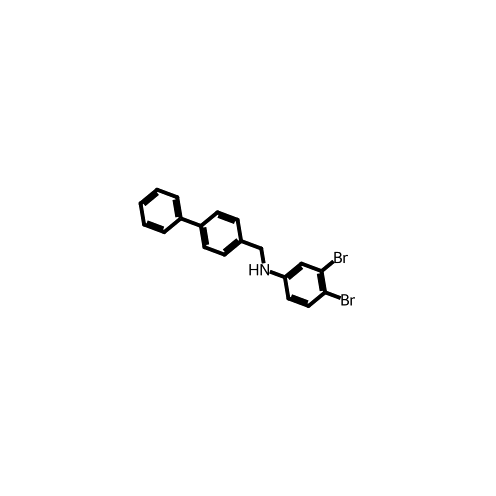 Brc1ccc(NCc2ccc(-c3ccccc3)cc2)cc1Br